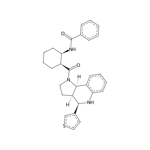 O=C(N[C@@H]1CCCC[C@@H]1C(=O)N1CC[C@@H]2[C@H](c3ccsc3)Nc3ccccc3[C@@H]21)c1ccccc1